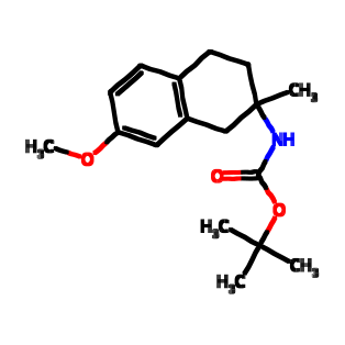 COc1ccc2c(c1)CC(C)(NC(=O)OC(C)(C)C)CC2